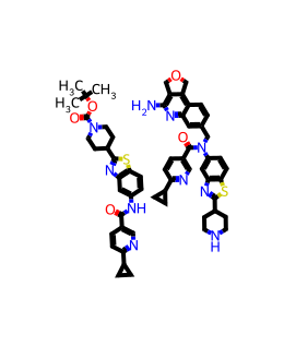 CC(C)(C)OC(=O)N1CCC(c2nc3cc(NC(=O)c4ccc(C5CC5)nc4)ccc3s2)CC1.Nc1nc2cc(CN(C(=O)c3ccc(C4CC4)nc3)c3ccc4sc(C5CCNCC5)nc4c3)ccc2c2c1COC2